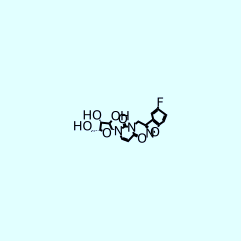 O=c1ccn([C@@H]2O[C@H](CO)[C@H](O)C2O)c(=O)n1Cc1noc2ccc(F)cc12